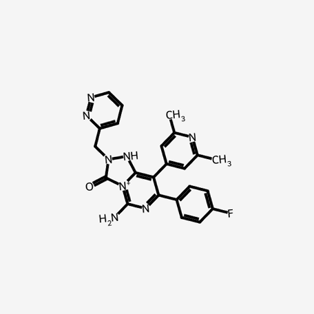 Cc1cc(-c2c(-c3ccc(F)cc3)nc(N)[n+]3c(=O)n(Cc4cccnn4)[nH]c23)cc(C)n1